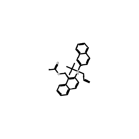 C=CC[PH](c1ccc2ccccc2c1)(c1ccc2ccccc2c1COC(C)=O)C(C)(C)C